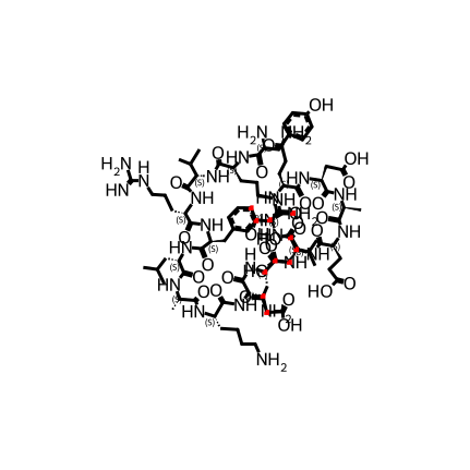 CC(C)C[C@H](NC(=O)[C@H](Cc1ccccc1)NC(=O)[C@H](CCCNC(=N)N)NC(=O)[C@@H](NC(=O)[C@H](CCCNC(=N)N)NC(=O)[C@@H](N)Cc1ccc(O)cc1)C(C)C)C(=O)N[C@@H](C)C(=O)N[C@@H](CCCCN)C(=O)N[C@@H](CCC(=O)O)C(=O)N[C@@H](CC(N)=O)C(=O)N[C@H](C(=O)N[C@H](C(=O)N[C@@H](CCC(N)=O)C(=O)N[C@@H](CC(=O)O)C(=O)N[C@@H](C)C(=O)N[C@@H](CCC(=O)O)C(=O)N[C@@H](CC(=O)O)C(=O)O)[C@@H](C)O)C(C)C